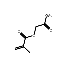 C=C(C)C(=O)OCC(=O)OC(C)=O